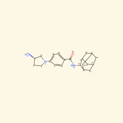 N[C@@H]1CCN(c2ccc(C(=O)NC3C4CC5CC(C4)CC3C5)cc2)C1